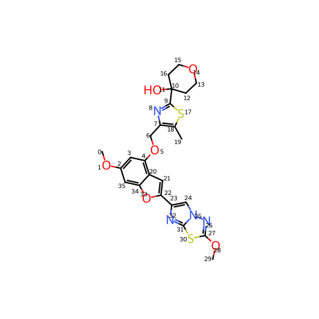 COc1cc(OCc2nc(C3(O)CCOCC3)sc2C)c2cc(-c3cn4nc(OC)sc4n3)oc2c1